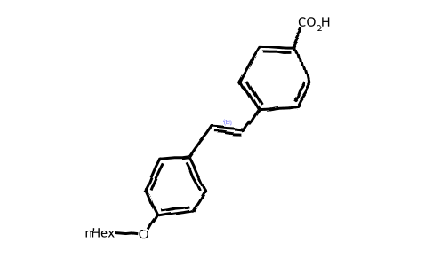 CCCCCCOc1ccc(/C=C/c2ccc(C(=O)O)cc2)cc1